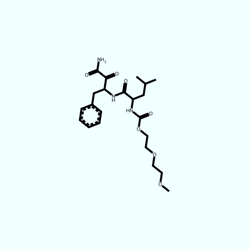 COCCOCCOC(=O)NC(CC(C)C)C(=O)NC(Cc1ccccc1)C(=O)C(N)=O